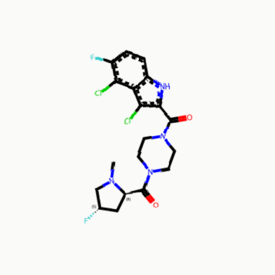 CN1C[C@@H](F)C[C@@H]1C(=O)N1CCN(C(=O)c2[nH]c3ccc(F)c(Cl)c3c2Cl)CC1